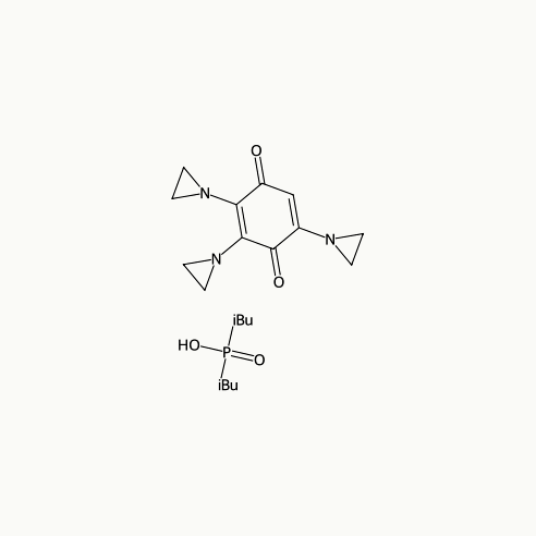 CCC(C)P(=O)(O)C(C)CC.O=C1C=C(N2CC2)C(=O)C(N2CC2)=C1N1CC1